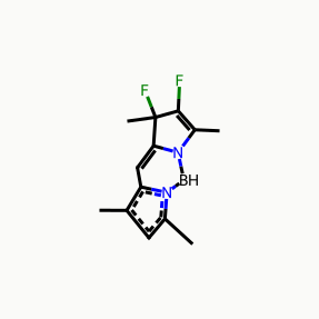 CC1=C(F)C(C)(F)C2=Cc3c(C)cc(C)n3BN21